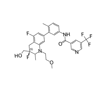 COCCN1c2cc(-c3cc(NC(=O)c4cncc(C(F)(F)F)c4)ccc3C)cc(F)c2C[C@@](F)(CO)C1C